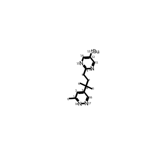 Cc1cc(C(C)(C)CCc2ncc(C(C)(C)C)cn2)cnn1